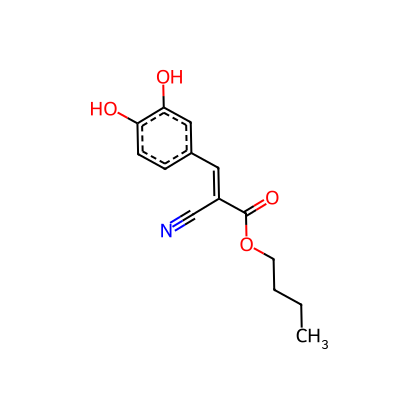 CCCCOC(=O)/C(C#N)=C/c1ccc(O)c(O)c1